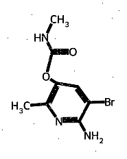 CNC(=O)Oc1cc(Br)c(N)nc1C